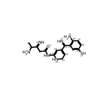 CC(N)C(=N)CC(=O)NC1=CC(C(=N)c2cc(S)ccc2N)=CCN1